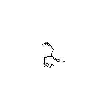 C=C(CCCCC)CS(=O)(=O)O